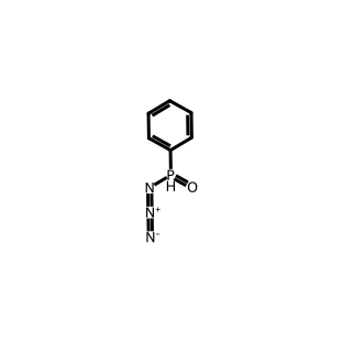 [N-]=[N+]=N[PH](=O)c1ccccc1